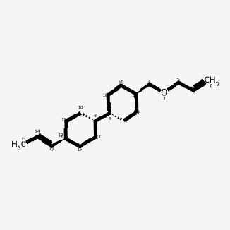 C=CCOC[C@H]1CC[C@H]([C@H]2CC[C@H](C=CC)CC2)CC1